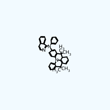 CC1(C)C2=C3C(CC=C2)C(C)(C)c2cc(N(c4ccccc4)c4nccc5ccccc45)ccc2N3c2ccccc21